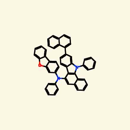 c1ccc(N(c2ccc3c(c2)oc2ccccc23)c2cc3ccccc3c3c2c2ccc(-c4cccc5ccccc45)cc2n3-c2ccccc2)cc1